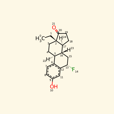 CC[C@]12CC[C@@H]3c4ccc(O)cc4[C@@H](F)C[C@H]3[C@@H]1CCC2=O